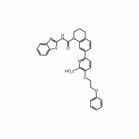 O=C(O)c1nc(-c2ccc3c(c2)N(C(=O)Nc2nc4ccccc4s2)CCC3)ccc1OCCOc1ccccc1